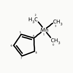 [CH3][Mn]([CH3])([CH3])[C]1=CC=CC1